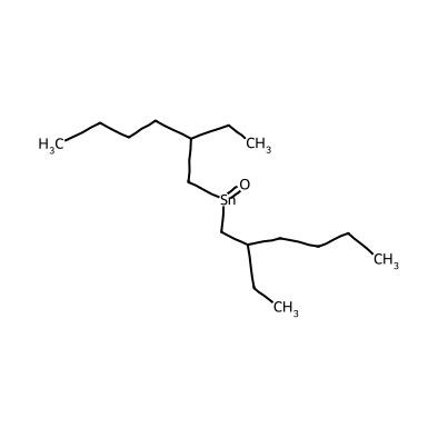 CCCCC(CC)[CH2][Sn](=[O])[CH2]C(CC)CCCC